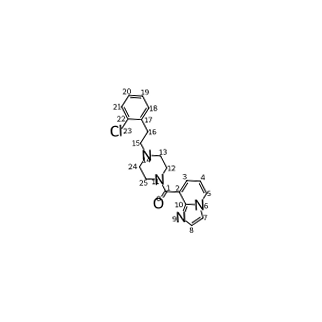 O=C(c1cccn2ccnc12)N1CCN(CCc2ccccc2Cl)CC1